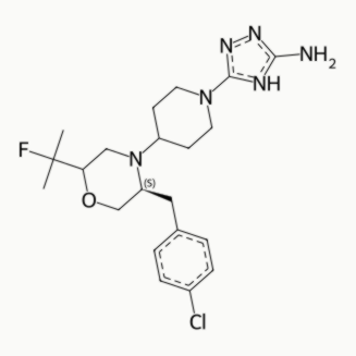 CC(C)(F)C1CN(C2CCN(c3nnc(N)[nH]3)CC2)[C@@H](Cc2ccc(Cl)cc2)CO1